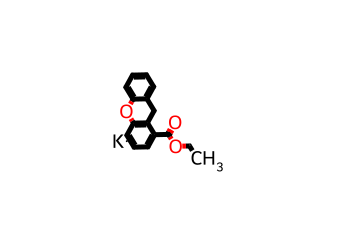 CCOC(=O)c1cccc2c1Cc1ccccc1O2.[K]